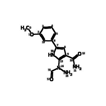 COc1cccc(-c2cc(C(N)=O)c(N(N)C=O)[nH]2)c1